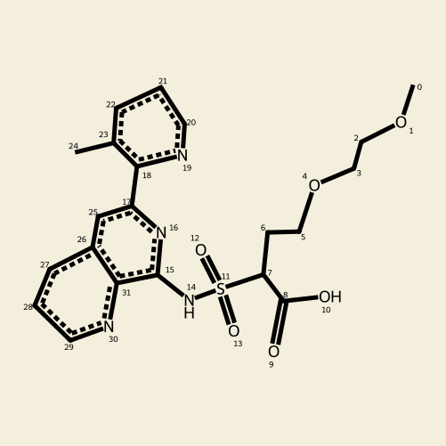 COCCOCCC(C(=O)O)S(=O)(=O)Nc1nc(-c2ncccc2C)cc2cccnc12